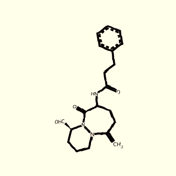 C=C1CCC(NC(=O)CCc2ccccc2)C(=O)N2[C@H](C=O)CCCN12